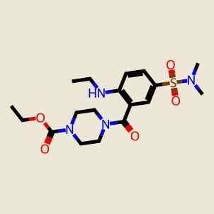 CCNc1ccc(S(=O)(=O)N(C)C)cc1C(=O)N1CCN(C(=O)OCC)CC1